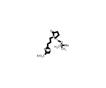 CCOC(=O)c1csc(CCCN2C(=O)CC[C@@H]2CO[Si](C)(C)C(C)(C)C)n1